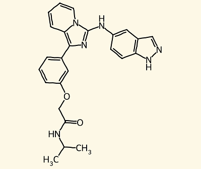 CC(C)NC(=O)COc1cccc(-c2nc(Nc3ccc4[nH]ncc4c3)n3ccccc23)c1